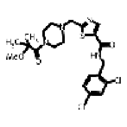 COC(C)(C)C(=O)N1CCN(Cc2ncc(C(=O)NCc3ccc(Cl)cc3Cl)s2)CC1